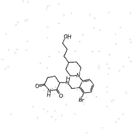 O=C1CCC(NCc2c(Br)cccc2N2CCC(CCCO)CC2)C(=O)N1